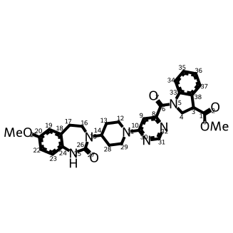 COC(=O)C1CN(C(=O)c2cc(N3CCC(N4CCc5cc(OC)ccc5NC4=O)CC3)ncn2)c2ccccc21